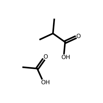 CC(=O)O.CC(C)C(=O)O